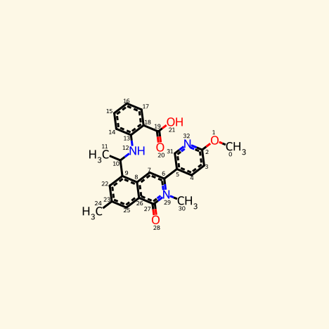 COc1ccc(-c2cc3c(C(C)Nc4ccccc4C(=O)O)cc(C)cc3c(=O)n2C)cn1